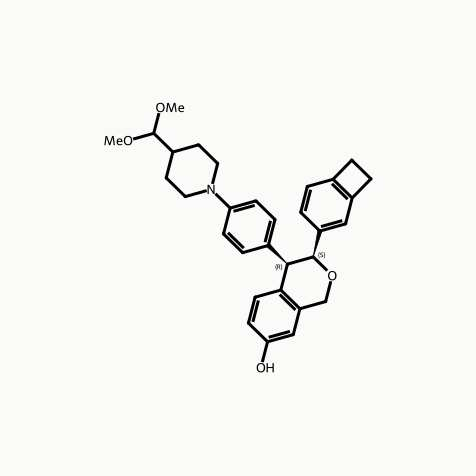 COC(OC)C1CCN(c2ccc([C@@H]3c4ccc(O)cc4CO[C@@H]3c3ccc4c(c3)CC4)cc2)CC1